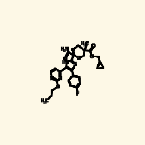 CCCOc1nccc(-c2[nH]c(C3(C(N)=O)OCC(C)(C(=O)OCC4CC4)CO3)nc2-c2ccc(F)cc2)n1